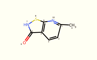 Cc1ccc2c(=O)[nH]sc2n1